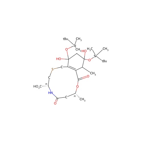 CC1C2=C(CSC[C@@H](C(=O)O)NC(=O)C[C@@H](C)OC2=O)C(O)(O[Si](C)(C)C(C)(C)C)CC1(O)O[Si](C)(C)C(C)(C)C